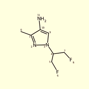 Cc1nn(C(CF)CF)cc1N